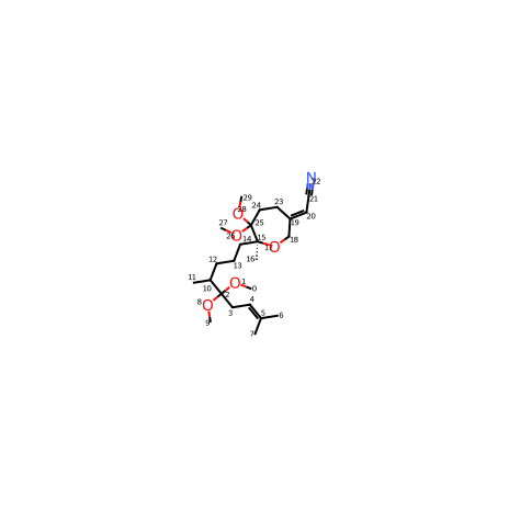 COC(CC=C(C)C)(OC)C(C)CCC[C@]1(C)OC/C(=C/C#N)CCC1(OC)OC